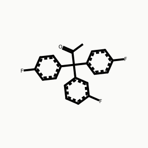 CC(=O)C(c1ccc(F)cc1)(c1ccc(F)cc1)c1cccc(F)c1